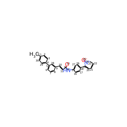 Cc1ccc(-c2cccc(C=CC(=O)Nc3ccc(-c4cccc[n+]4[O-])cc3)c2)cc1